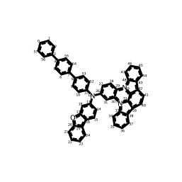 c1ccc(-c2ccc(-c3ccc(N(c4ccc5c(c4)oc4ccccc45)c4ccc5c(c4)n4c6ccccc6c6ccc7c8ccccc8n5c7c64)cc3)cc2)cc1